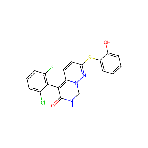 O=C1NCN2N=C(Sc3ccccc3O)C=CC2=C1c1c(Cl)cccc1Cl